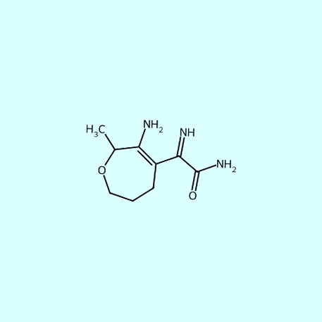 CC1OCCCC(C(=N)C(N)=O)=C1N